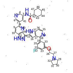 O=C(Nc1cncc(-c2ccc3[nH]nc(-c4cc5c(-c6cc(F)cc(OCCN7CCCC7)c6)nccc5[nH]4)c3n2)c1)C1CCCCC1